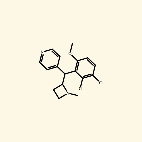 COc1ccc(Cl)c(Cl)c1C(c1ccncc1)C1CCN1C